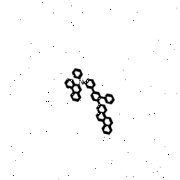 c1ccc(-c2cc(-c3cccc(N(c4ccccc4)c4cc5ccccc5c5ccccc45)c3)ccc2-c2ccc3c(ccc4c5ccccc5ccc34)c2)cc1